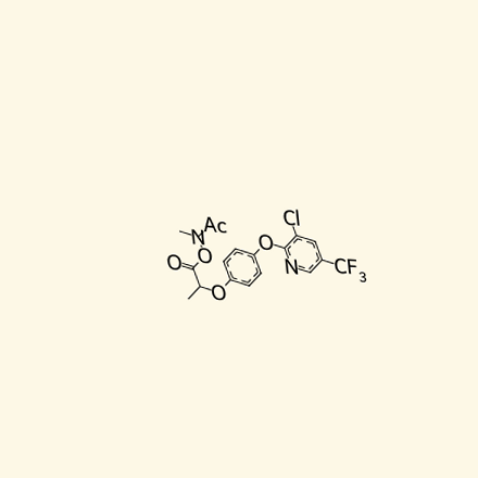 CC(=O)N(C)OC(=O)C(C)Oc1ccc(Oc2ncc(C(F)(F)F)cc2Cl)cc1